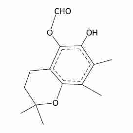 Cc1c(C)c2c(c(OC=O)c1O)CCC(C)(C)O2